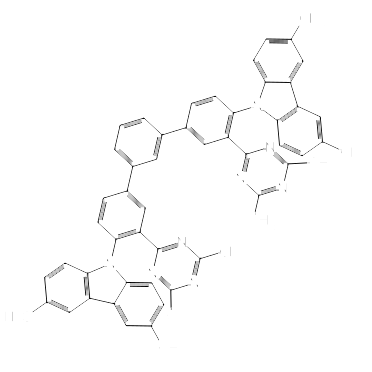 Cc1ccc2c(c1)c1cc(C)ccc1n2-c1ccc(-c2cccc(-c3ccc(-n4c5ccc(C)cc5c5cc(C)ccc54)c(-c4nc(C)nc(C)n4)c3)c2)cc1-c1nc(C)nc(C)n1